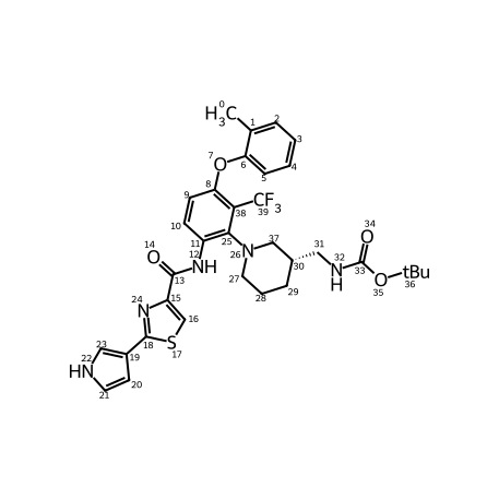 Cc1ccccc1Oc1ccc(NC(=O)c2csc(-c3cc[nH]c3)n2)c(N2CCC[C@@H](CNC(=O)OC(C)(C)C)C2)c1C(F)(F)F